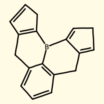 C1=CC2=C(C1)B1C3=CCC=C3Cc3cccc(c31)C2